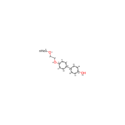 CCCCCCOCCOc1ccc(-c2ccc(O)cc2)cc1